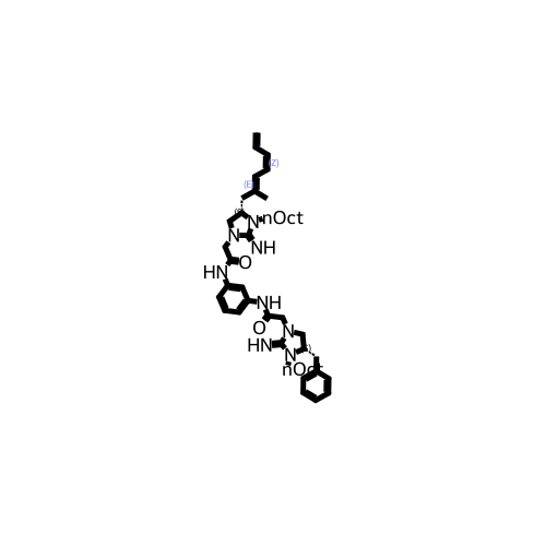 C=C/C=C\C=C(/C)C[C@H]1CN(CC(=O)Nc2cccc(NC(=O)CN3C[C@H](Cc4ccccc4)N(CCCCCCCC)C3=N)c2)C(=N)N1CCCCCCCC